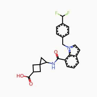 O=C(NC1CC12CC(C(=O)O)C2)c1cccc2ccn(Cc3ccc(C(F)F)cc3)c12